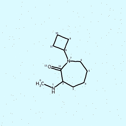 CNC1CCCCN(C2CCC2)C1=O